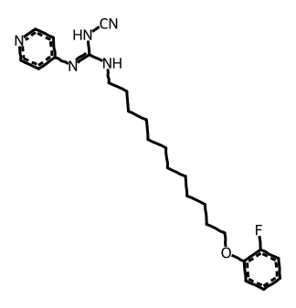 N#CN/C(=N\c1ccncc1)NCCCCCCCCCCCCOc1ccccc1F